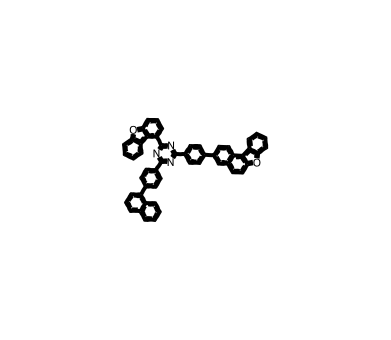 c1ccc2c(-c3ccc(-c4nc(-c5ccc(-c6ccc7c(ccc8oc9ccccc9c87)c6)cc5)nc(-c5cccc6oc7ccccc7c56)n4)cc3)cccc2c1